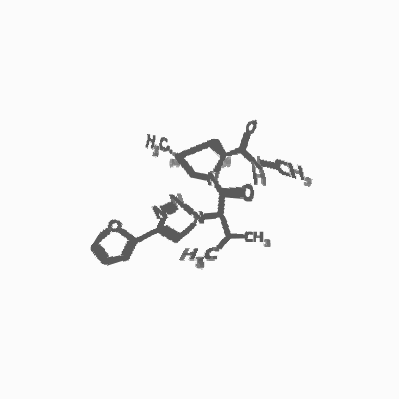 CNC(=O)[C@@H]1C[C@@H](C)CN1C(=O)C(C(C)C)n1cc(-c2ccco2)nn1